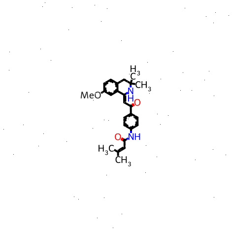 COc1ccc2c(c1)C(=CC(=O)c1ccc(NC(=O)C=C(C)C)cc1)NC(C)(C)C2